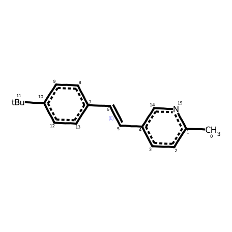 Cc1ccc(/C=C/c2ccc(C(C)(C)C)cc2)cn1